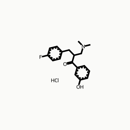 CN(C)CC(Cc1ccc(F)cc1)C(=O)c1cccc(O)c1.Cl